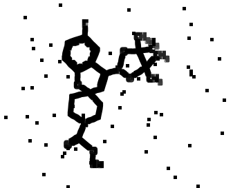 CC(C)(C)OC(=O)N1CCC2(C=C(P3OC(C)(C)C(C)(C)O3)c3cc(F)ccc3O2)CC1